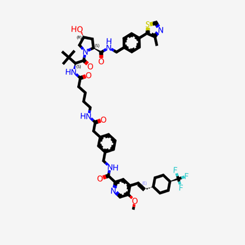 COc1cnc(C(=O)NCc2cccc(CC(=O)NCCCCC(=O)N[C@H](C(=O)N3C[C@H](O)C[C@H]3C(=O)NCc3ccc(-c4scnc4C)cc3)C(C)(C)C)c2)cc1/C=C/[C@H]1CC[C@H](C(F)(F)F)CC1